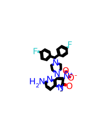 Cn1c(=O)c([N+](=O)[O-])c(N2CCN(C(c3ccc(F)cc3)c3ccc(F)cc3)CC2)c2nc(N)ccc21